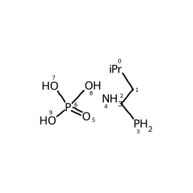 CC(C)CCP.N.O=P(O)(O)O